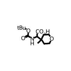 CC(C)(C)OC(=O)NC(C(=O)O)C1(C)CCOCC1